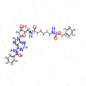 O=C(CCCCCNC(=O)OCc1ccccc1)NC[C@H]1O[C@@H](n2cnc3c(NC(=O)c4ccccc4)ncnc32)C[C@@H]1O